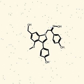 COc1cc(CO)cc2c1c(-c1ccc(O)cc1)cn2C/C(=N/O)c1ccc(O)cc1